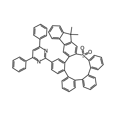 CC1(C)c2ccccc2-c2cc3c(cc21)S(=O)(=O)c1ccccc1-c1ccccc1-c1ccccc1-c1ccc(-c2nc(-c4ccccc4)cc(-c4ccccc4)n2)cc1-3